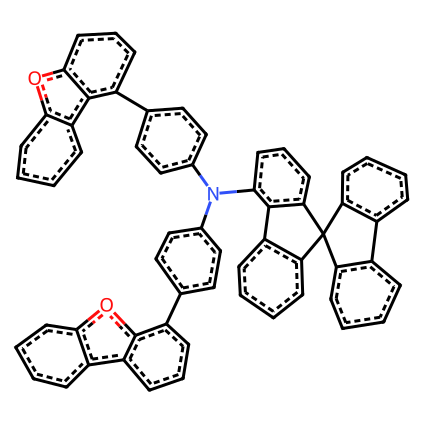 c1ccc2c(c1)-c1ccccc1C21c2ccccc2-c2c(N(c3ccc(-c4cccc5c4oc4ccccc45)cc3)c3ccc(-c4cccc5oc6ccccc6c45)cc3)cccc21